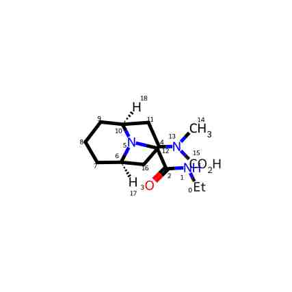 CCNC(=O)CN1[C@@H]2CCC[C@H]1CC(N(C)C(=O)O)C2